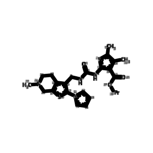 Cc1sc(NC(=O)NCc2c(-n3cccc3)sc3c2CCN(C)C3)c(C(=O)OC(C)C)c1C